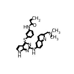 C=CC(=O)Nc1cccc(Sc2nc(Nc3ccc4nc(CN(C)C)ccc4c3)nc3[nH]ccc23)c1